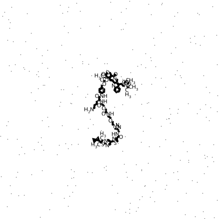 CCC(C)(Sc1ncc(-c2nc(C(=O)NCc3cn(CCOCCNC(=O)COCC(=O)N[C@@H](CCCCN)C(=O)Nc4ccc(COC(=O)O[C@]5(CC)C(=O)OCc6c5cc5n(c6=O)Cc6c-5nc5ccccc5c6CCN(C(C)C)S(C)(=O)=O)cc4)nn3)cs2)cn1)C1CC12CC2